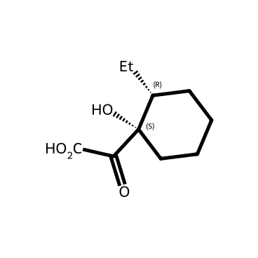 CC[C@@H]1CCCC[C@@]1(O)C(=O)C(=O)O